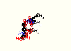 CCCCCC(C(=O)NCNC(=O)c1ccc(-c2ccc(C(=O)NC(CC(=O)O)C(=O)O)c(OCC(=O)OC)c2)o1)C(CC)N(O)C=O